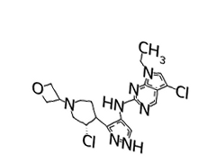 CCn1cc(Cl)c2cnc(Nc3c[nH]nc3C3CCN(C4COC4)C[C@H]3Cl)nc21